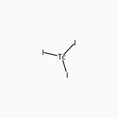 [I][Tc]([I])[I]